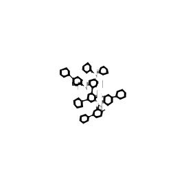 Cc1ccc(-c2ccccc2)cc1N1c2ccc(-c3ccccc3)cc2Bc2c(-c3ccc(N(c4ccccc4)c4ccccc4)cc3Nc3ccc(-c4ccccc4)cc3)cc(-c3ccccc3)cc21